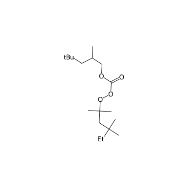 CCC(C)(C)CC(C)(C)OOC(=O)OCC(C)CC(C)(C)C